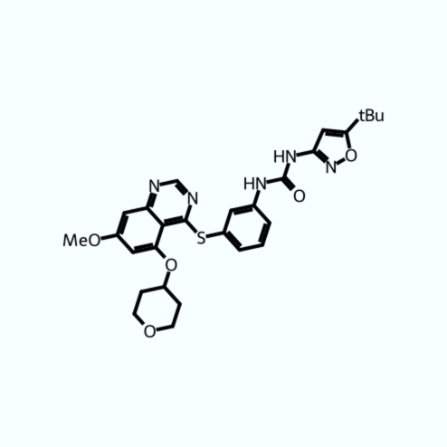 COc1cc(OC2CCOCC2)c2c(Sc3cccc(NC(=O)Nc4cc(C(C)(C)C)on4)c3)ncnc2c1